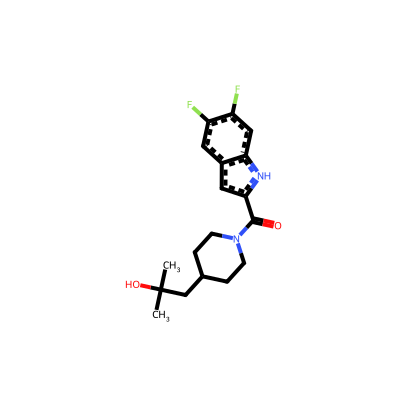 CC(C)(O)CC1CCN(C(=O)c2cc3cc(F)c(F)cc3[nH]2)CC1